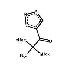 CCCCCCC(C)(CCCCCC)C(=O)c1csnn1